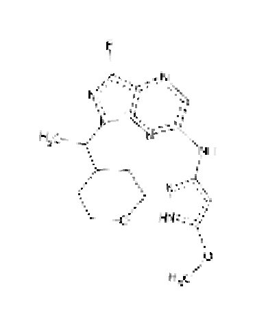 COc1cc(Nc2cnc3c(F)nn(C(C)C4CCOCC4)c3n2)n[nH]1